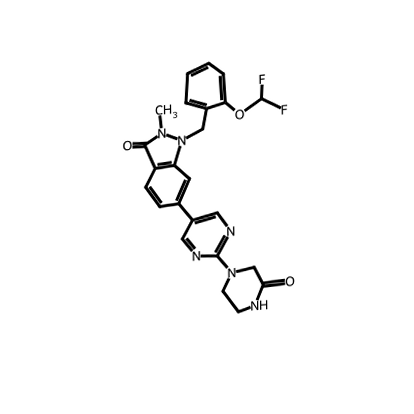 Cn1c(=O)c2ccc(-c3cnc(N4CCNC(=O)C4)nc3)cc2n1Cc1ccccc1OC(F)F